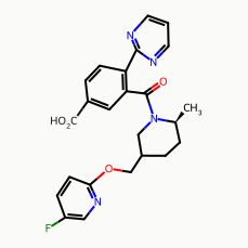 C[C@H]1CCC(COc2ccc(F)cn2)CN1C(=O)c1cc(C(=O)O)ccc1-c1ncccn1